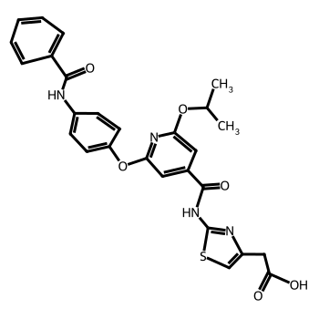 CC(C)Oc1cc(C(=O)Nc2nc(CC(=O)O)cs2)cc(Oc2ccc(NC(=O)c3ccccc3)cc2)n1